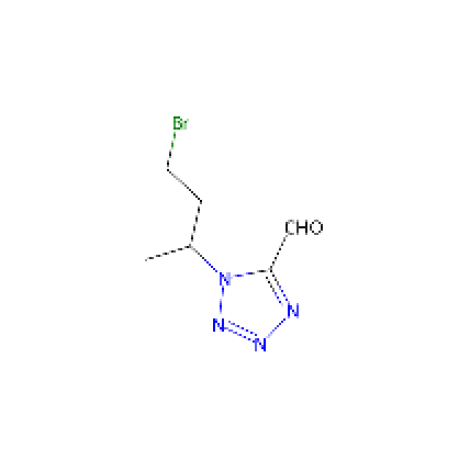 CC(CCBr)n1nnnc1C=O